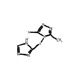 Cc1nnc([S])n1Sc1nnc[nH]1